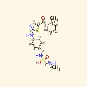 CNCS(=O)(=O)NCc1ccc(Nc2ncc(C(=O)c3ccccc3C)s2)cc1